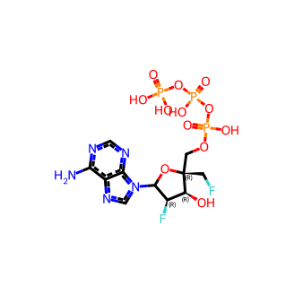 Nc1ncnc2c1ncn2C1O[C@](CF)(COP(=O)(O)OP(=O)(O)OP(=O)(O)O)[C@@H](O)[C@H]1F